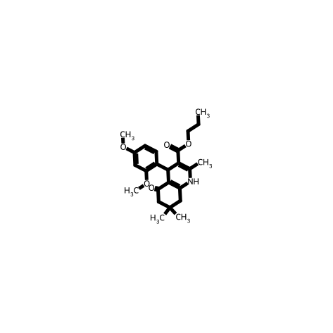 CCCOC(=O)C1=C(C)NC2=C(C(=O)CC(C)(C)C2)C1c1ccc(OC)cc1OC